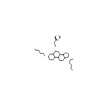 CC(C)CCCC(C)[C@H]1CC[C@H]2[C@@H]3C[C@@H](NCCc4c[nH]cn4)[C@@]4(O)C[C@@H](CCCCCC(=O)O)CC[C@]4(C)[C@H]3CC[C@]12C